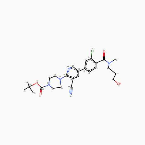 CN(CCCO)C(=O)c1ccc(-c2cnc(N3CCN(C(=O)OC(C)(C)C)CC3)c(C#N)c2)cc1Cl